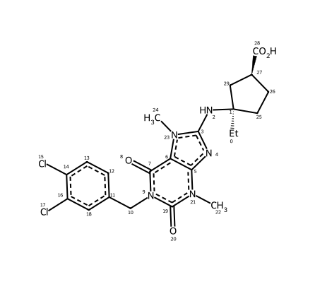 CC[C@@]1(Nc2nc3c(c(=O)n(Cc4ccc(Cl)c(Cl)c4)c(=O)n3C)n2C)CC[C@H](C(=O)O)C1